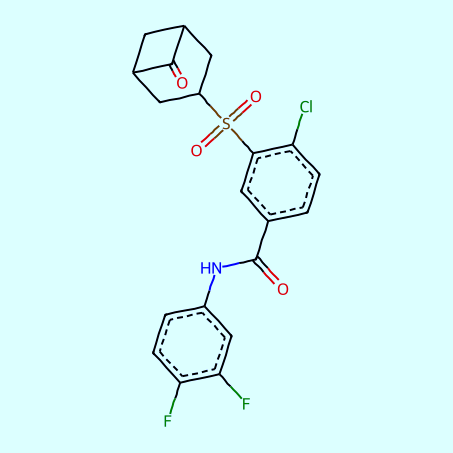 O=C(Nc1ccc(F)c(F)c1)c1ccc(Cl)c(S(=O)(=O)C2CC3CC(C2)C3=O)c1